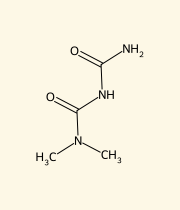 CN(C)C(=O)NC(N)=O